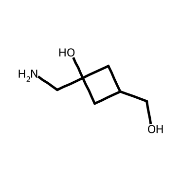 NCC1(O)CC(CO)C1